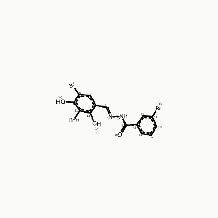 O=C(N/N=C/c1cc(Br)c(O)c(Br)c1O)c1cccc(Br)c1